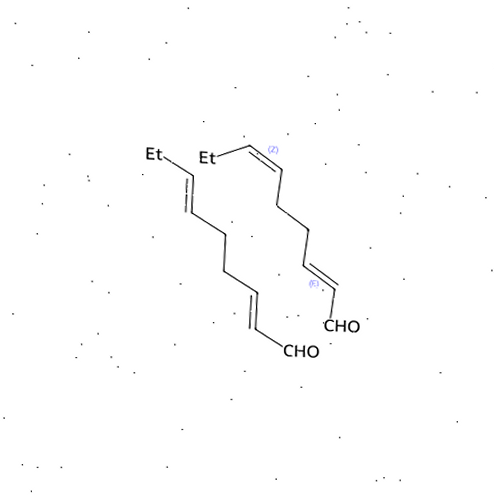 CC/C=C\CC/C=C/C=O.CCC=CCCC=CC=O